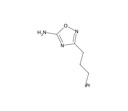 CC(C)CCCc1noc(N)n1